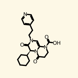 O=C1[C@H](C2CCCCC2)N2C(=O)CCN(C(=O)O)C2=CN1CCc1ccncc1